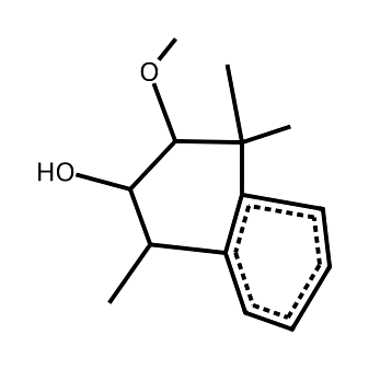 COC1C(O)C(C)c2ccccc2C1(C)C